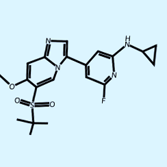 COc1cc2ncc(-c3cc(F)nc(NC4CC4)c3)n2cc1S(=O)(=O)C(C)(C)C